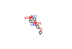 CNC(=O)c1cccc(C(=O)O)c1-c1c(C(=O)O)cccc1C(=O)Nc1ccc(Oc2ccc(C)cc2)cc1